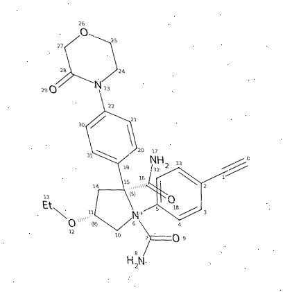 C#Cc1ccc([N+]2(C(N)=O)C[C@H](OCC)C[C@@]2(C(N)=O)c2ccc(N3CCOCC3=O)cc2)cc1